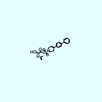 C=CC[C@H](C(=O)NO)S(=O)(=O)N1CC=C(c2ccc(-c3ccccc3)cc2)CC1